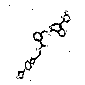 Nc1nccc(-c2cnc(NCc3cccc(C(=O)NCC4CC5(CCN(C6COC6)CC5)C4)c3)c3c2OCC3)n1